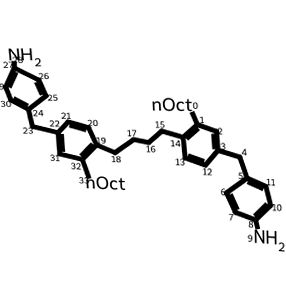 CCCCCCCCc1cc(Cc2ccc(N)cc2)ccc1CCCCc1ccc(Cc2ccc(N)cc2)cc1CCCCCCCC